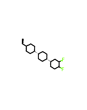 C=CC1CCC([C@H]2CC[C@@H](C3CCC(F)C(F)C3)CC2)CC1